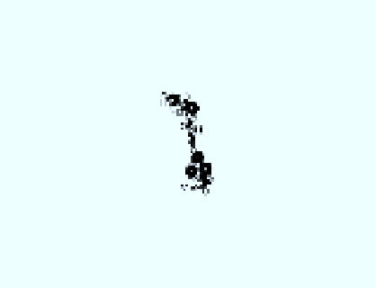 CNC(=O)c1cnc2ccc(-c3ccc(OCCCCNC(=O)CNc4cccc5c4C(=O)N(C4CCC(=O)NC4=O)C5=O)nc3)cc2c1Nc1ccccc1